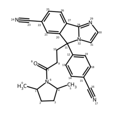 CC1CCC(C)N1C(=O)CCC1(c2ccc(C#N)cc2)c2cc(C#N)ccc2-c2nccn21